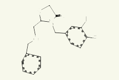 O=C1CSC(COCc2ccccc2)N1Cc1ccc(F)c(F)c1